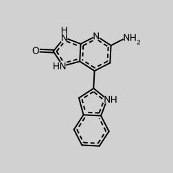 Nc1cc(-c2cc3ccccc3[nH]2)c2[nH]c(=O)[nH]c2n1